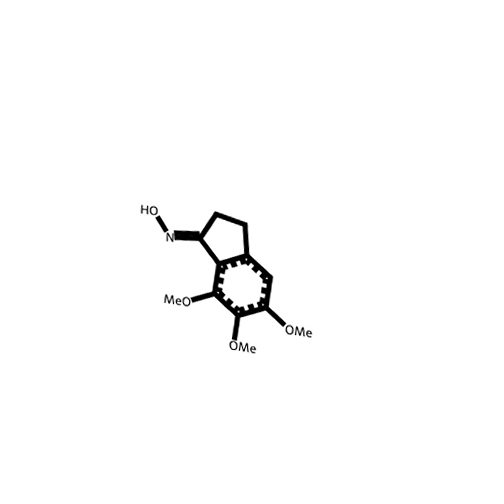 COc1cc2c(c(OC)c1OC)C(=NO)CC2